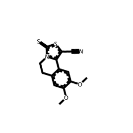 COc1cc2c(cc1OC)-c1c(C#N)sc(=S)n1CC2